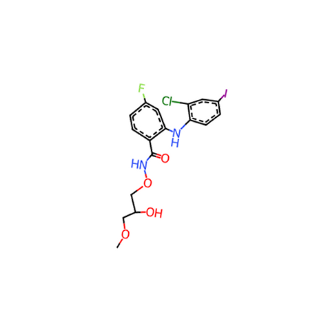 COCC(O)CONC(=O)c1ccc(F)cc1Nc1ccc(I)cc1Cl